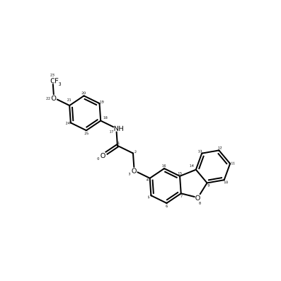 O=C(COc1ccc2oc3ccccc3c2c1)Nc1ccc(OC(F)(F)F)cc1